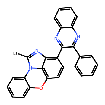 CCc1nc2c(-c3nc4ccccc4nc3-c3ccccc3)ccc3c2n1-c1ccccc1O3